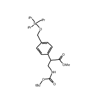 COC(=O)C(CNC(=O)OC(C)(C)C)c1ccc(CO[Si](C(C)C)(C(C)C)C(C)C)cc1